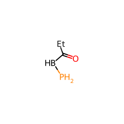 CCC(=O)BP